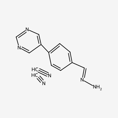 C#N.C#N.NN=Cc1ccc(-c2cncnc2)cc1